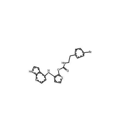 O=C(NCCc1ccc(Br)cc1)Oc1sccc1Nc1ccnc2[nH]ccc12